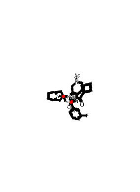 CC(=O)N1CCc2nc(C)n(C3CC4CCC(C3)N4CC[C@H](NC(=O)C3CCC3)c3cccc(F)c3)c2C1